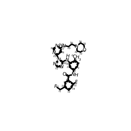 Cc1ccc(NC(=O)c2cc(CF)ccc2F)cc1Nc1ncnn1-c1cc(NCCN2CCOCC2)ncn1